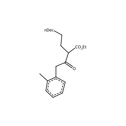 CCCCCCCCCCCCC(C(=O)Cc1ccccc1C)C(=O)OCC